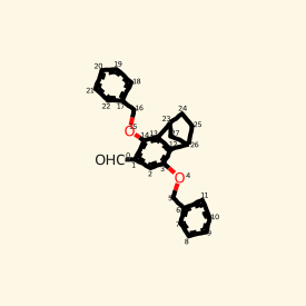 O=Cc1cc(OCc2ccccc2)c2c(c1OCc1ccccc1)C1CCC2C1